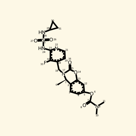 C[C@@H]1c2ccc(OC(=O)N(C)C)cc2OC(=O)N1Cc1ccnc(NS(=O)(=O)NC2CC2)c1F